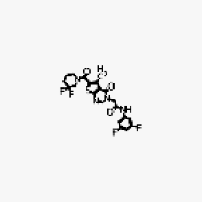 Cc1c(C(=O)N2CCCC(F)(F)C2)sc2ncn(CC(=O)Nc3cc(F)cc(F)c3)c(=O)c12